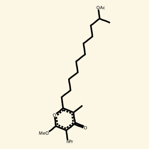 CCCc1c(OC)oc(CCCCCCCCCC(C)OC(C)=O)c(C)c1=O